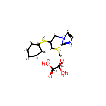 CSCC(Cn1ccnc1)SC1CCCCC1.O=C(O)C(=O)O